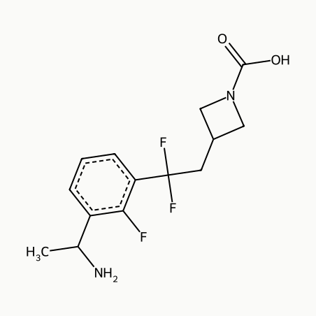 CC(N)c1cccc(C(F)(F)CC2CN(C(=O)O)C2)c1F